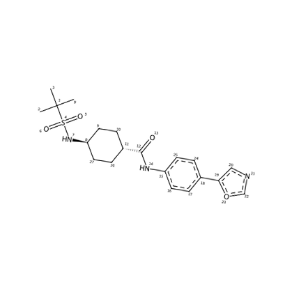 CC(C)(C)S(=O)(=O)N[C@H]1CC[C@H](C(=O)Nc2ccc(-c3cnco3)cc2)CC1